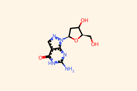 Nc1nc2c(cnn2[C@H]2CC(O)[C@@H](CO)O2)c(=O)[nH]1